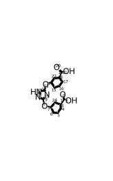 O=C(O)c1cccc(Oc2n[nH]c(Oc3cccc(C(=O)O)c3)n2)c1